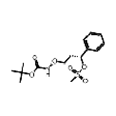 CC(C)(C)OC(=O)NOCC[C@@H](OS(C)(=O)=O)c1ccccc1